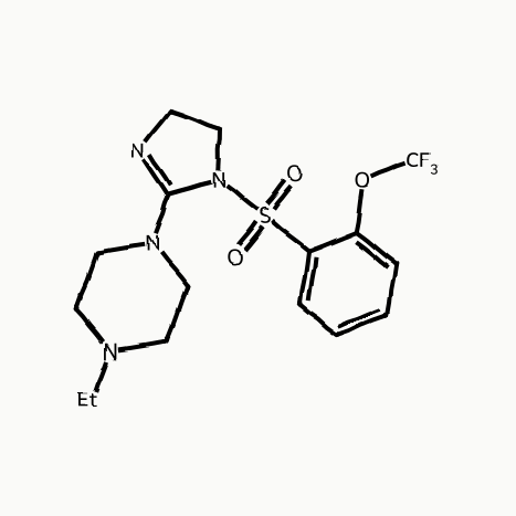 CCN1CCN(C2=NCCN2S(=O)(=O)c2ccccc2OC(F)(F)F)CC1